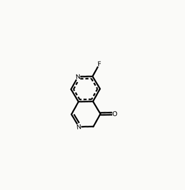 O=C1CN=Cc2cnc(F)cc21